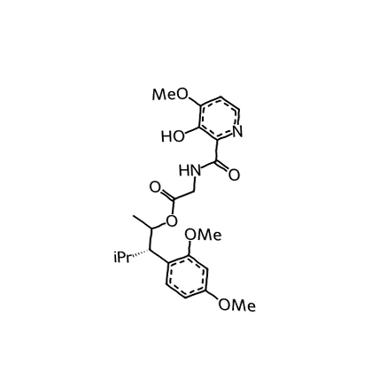 COc1ccc([C@H](C(C)C)C(C)OC(=O)CNC(=O)c2nccc(OC)c2O)c(OC)c1